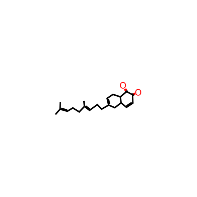 CC(C)=CCC/C(C)=C/CCC1=CCC2C(=O)C(=O)C=CC2C1